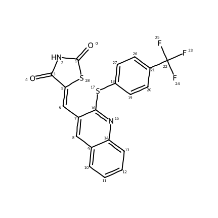 O=C1NC(=O)C(=Cc2cc3ccccc3nc2Sc2ccc(C(F)(F)F)cc2)S1